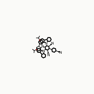 CC(C)C1=CC2c3cc(C(C)C)ccc3N(c3c(-n4c5ccccc5c5ccccc54)c(C#N)c(-c4ccc(C#N)cc4)c(C#N)c3-n3c4ccccc4c4ccccc43)C2C=C1